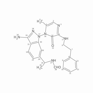 Cc1cnc(NCCc2ccccc2)c(=O)n1-n1nc(N)c2ccc(C(C)NC=O)cc21